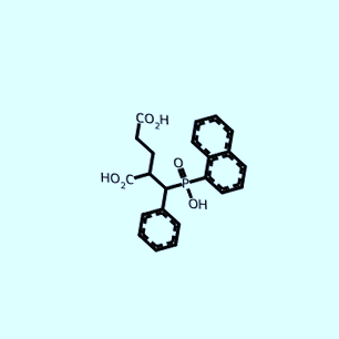 O=C(O)CCC(C(=O)O)C(c1ccccc1)P(=O)(O)c1cccc2ccccc12